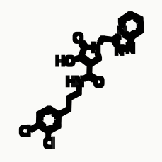 O=C(NCCCc1ccc(Cl)c(Cl)c1)C1=C(O)C(=O)N(Cc2nnc3ccccn23)C1